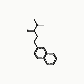 CN(C)C(=S)CCc1ccc2ccccc2c1